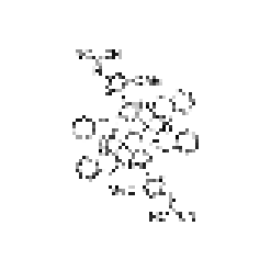 COc1cc(N=C(C#N)C#N)sc1-c1nc2c(s1)C1=C(c3sc(-c4sc(N=C(C#N)C#N)cc4OC)nc3C1(C(=O)OCc1ccccc1)C(=O)OCc1ccccc1)C2(C(=O)OCc1ccccc1)C(=O)OCc1ccccc1